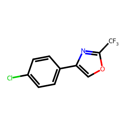 FC(F)(F)c1nc(-c2ccc(Cl)cc2)co1